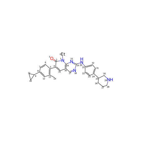 CCn1c(=O)c(-c2ccc(C3CC3)cc2C)cc2cnc(Nc3ccc(C4CCCNC4)cc3)nc21